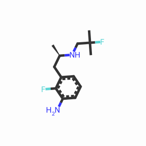 C[C@H](Cc1cccc(N)c1F)NCC(C)(C)F